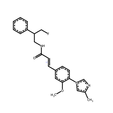 COc1cc(/C=C/C(=O)NCC(CF)c2ccccc2)ccc1-n1cnc(C)c1